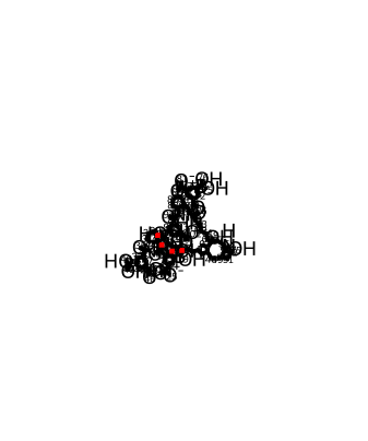 CC1C(CCCCCNC(=O)CN(C(=O)c2cc(B(O)O)cc([N+](=O)[O-])c2)C2CCCCC2NC(=O)c2cc(B(O)O)cc([N+](=O)[O-])c2)CCC2CCC2(NO)CCC1(O)CCCCNC(=O)CN(C(=O)c1cc(B(O)O)cc([N+](=O)[O-])c1)C1CCCCC1NC(=O)c1cc(B(O)O)cc([N+](=O)[O-])c1